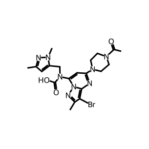 CC(=O)N1CCN(c2cc(N(Cc3cc(C)nn3C)C(=O)O)n3nc(C)c(Br)c3n2)CC1